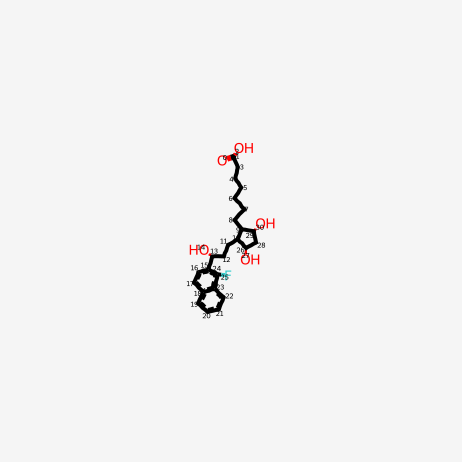 O=C(O)CCCCCCC1C(CC[C@H](O)c2ccc3ccccc3c2F)[C@H](O)C[C@@H]1O